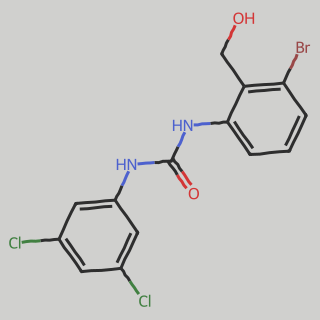 O=C(Nc1cc(Cl)cc(Cl)c1)Nc1cccc(Br)c1CO